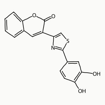 O=c1oc2ccccc2cc1-c1csc(-c2ccc(O)c(O)c2)n1